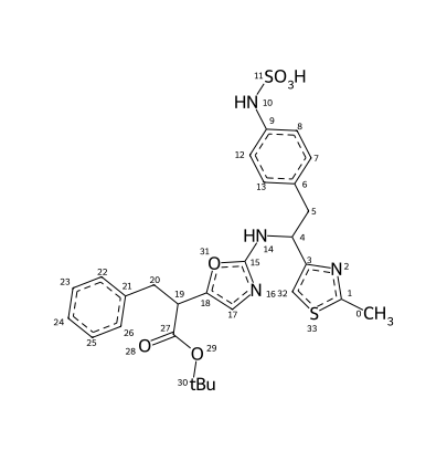 Cc1nc(C(Cc2ccc(NS(=O)(=O)O)cc2)Nc2ncc(C(Cc3ccccc3)C(=O)OC(C)(C)C)o2)cs1